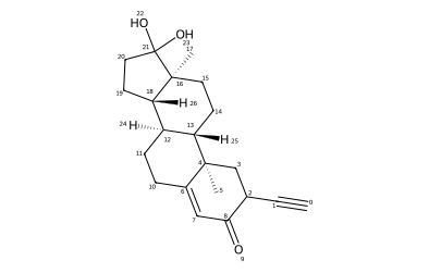 C#CC1C[C@@]2(C)C(=CC1=O)CC[C@@H]1[C@@H]2CC[C@@]2(C)[C@H]1CCC2(O)O